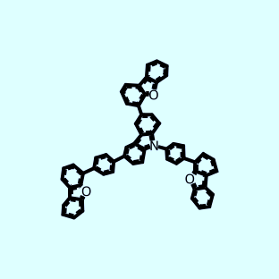 c1ccc2c(c1)oc1c(-c3ccc(-c4ccc5c(c4)c4cc(-c6cccc7c6oc6ccccc67)ccc4n5-c4ccc(-c5cccc6c5oc5ccccc56)cc4)cc3)cccc12